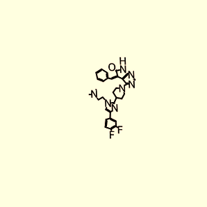 CN(C)CCn1cc(-c2ccc(F)c(F)c2)nc1C1CCN(c2ncnc3c2/C(=C/c2ccccc2)C(=O)N3)CC1